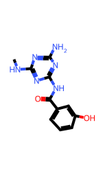 CNc1nc(N)nc(NC(=O)c2cccc(O)c2)n1